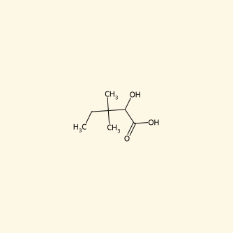 CCC(C)(C)C(O)C(=O)O